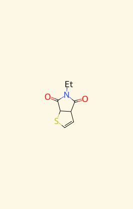 CCN1C(=O)C2C=CSC2C1=O